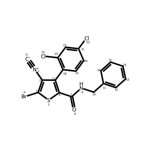 [C-]#[N+]c1c(Br)sc(C(=O)NCc2ccccc2)c1-c1ccc(Cl)cc1Cl